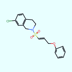 O=S(=O)(C=CCOc1ccccc1)N1CCc2ccc(Cl)cc2C1